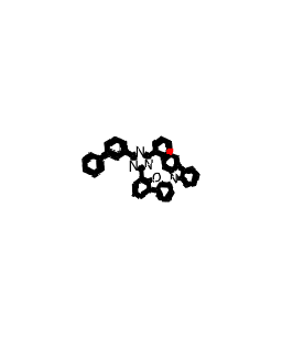 c1ccc(-c2cccc(-c3nc(-c4ccccc4)nc(-c4cccc5c4oc4c(-n6c7ccccc7c7ccccc76)cccc45)n3)c2)cc1